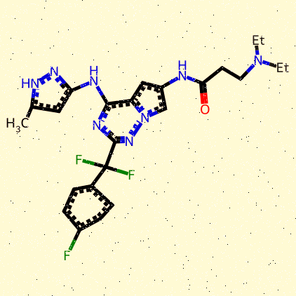 CCN(CC)CCC(=O)Nc1cc2c(Nc3cc(C)[nH]n3)nc(C(F)(F)c3ccc(F)cc3)nn2c1